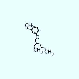 [CH]=Cc1cc[c]c(OCC(CC)CCCC)c1